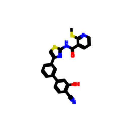 CSc1ncccc1C(=O)Nc1nc(-c2cccc(-c3ccc(C#N)c(O)c3)c2)cs1